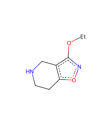 CCOc1noc2c1CNCC2